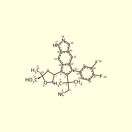 CC(C)(CC#N)c1c(C2CO[C@@](C)(C(=O)O)C2)c2cc3[nH]ncc3cc2n1-c1ccc(F)c(F)c1